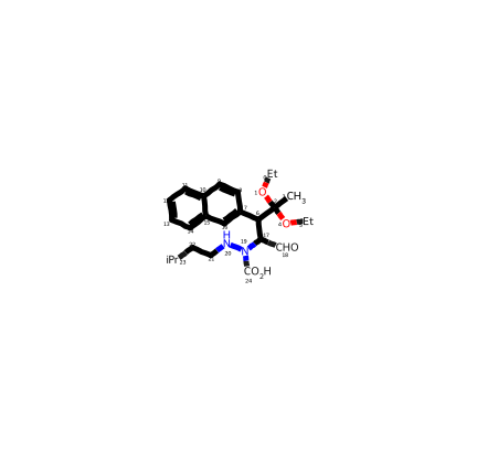 CCOC(C)(OCC)C(c1ccc2ccccc2c1)C(C=O)N(NCCC(C)C)C(=O)O